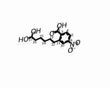 O=C(O)c1ccc([N+](=O)[O-])cc1CCCCCC(O)O